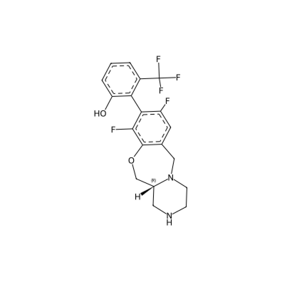 Oc1cccc(C(F)(F)F)c1-c1c(F)cc2c(c1F)OC[C@H]1CNCCN1C2